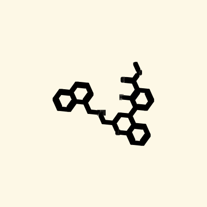 COC(=O)c1cccc(C2CC(CNCc3cccc4ccccc34)Oc3ccccc32)c1F